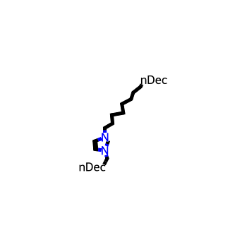 CCCCCCCCCCCCCCCCCCN1C=CN(CCCCCCCCCCC)C1